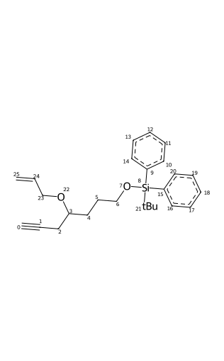 C#CCC(CCCO[Si](c1ccccc1)(c1ccccc1)C(C)(C)C)OCC=C